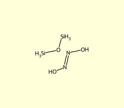 ON=NO.[SiH3]O[SiH3]